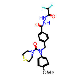 COc1ccc(N(Cc2ccc(C(=O)NNC(=O)C(F)F)cc2)C(=O)N2CCSCC2)cc1